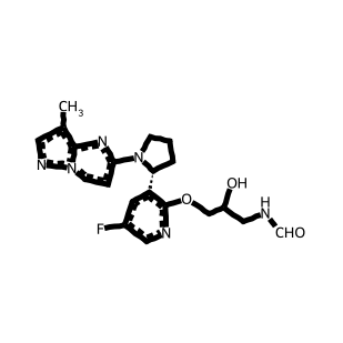 Cc1cnn2ccc(N3CCC[C@@H]3c3cc(F)cnc3OCC(O)CNC=O)nc12